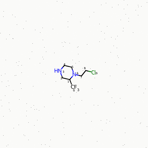 FC(F)(F)C1CNCCN1CCCl